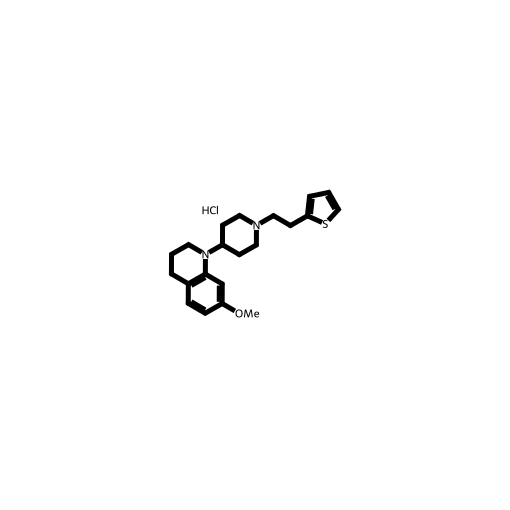 COc1ccc2c(c1)N(C1CCN(CCc3cccs3)CC1)CCC2.Cl